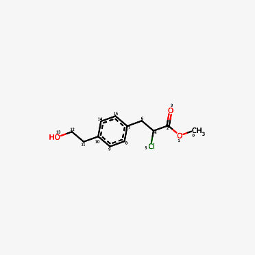 COC(=O)C(Cl)Cc1ccc(CCO)cc1